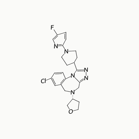 Fc1ccc(N2CCC(c3nnc4n3-c3ccc(Cl)cc3CN([C@@H]3CCOC3)C4)CC2)nc1